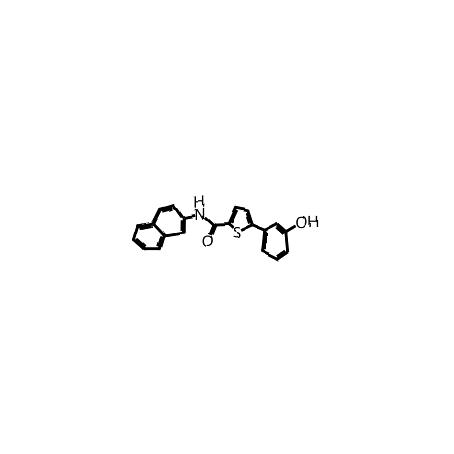 O=C(Nc1ccc2ccccc2c1)c1ccc(-c2cccc(O)c2)s1